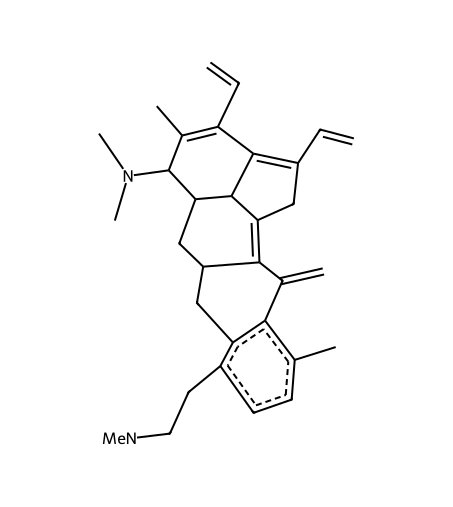 C=CC1=C2C(C=C)=C(C)C(N(C)C)C3CC4Cc5c(CCNC)ccc(C)c5C(=C)C4=C(C1)C23